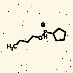 CCCCO[PH](=O)C1CCCC1